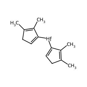 CC1=C(C)[C]([Hf][C]2=CCC(C)=C2C)=CC1